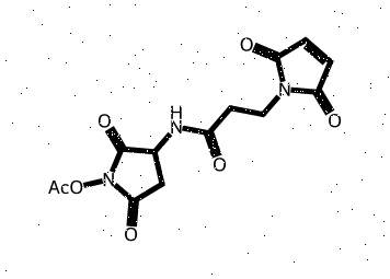 CC(=O)ON1C(=O)CC(NC(=O)CCN2C(=O)C=CC2=O)C1=O